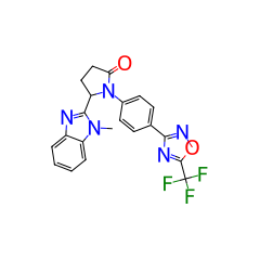 Cn1c(C2CCC(=O)N2c2ccc(-c3noc(C(F)(F)F)n3)cc2)nc2ccccc21